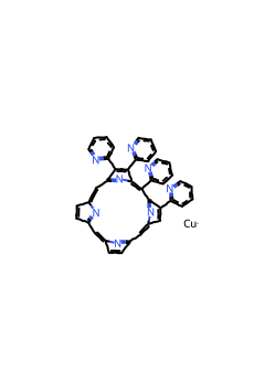 C1=CC2=NC1=CC1=NC(=C(c3ccccn3)C3=NC(=CC4=NC(=C2)C=C4)C=C3c2ccccn2)C(c2ccccn2)=C1c1ccccn1.[Cu]